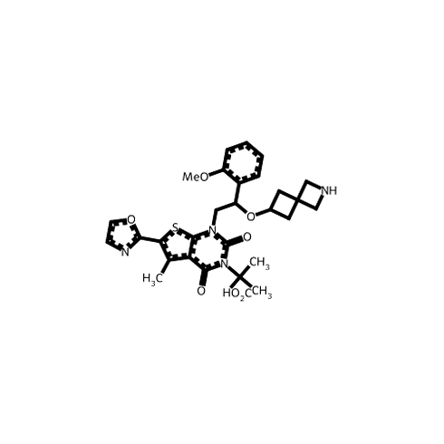 COc1ccccc1C(Cn1c(=O)n(C(C)(C)C(=O)O)c(=O)c2c(C)c(-c3ncco3)sc21)OC1CC2(CNC2)C1